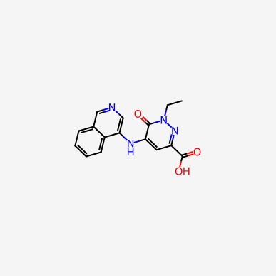 CCn1nc(C(=O)O)cc(Nc2cncc3ccccc23)c1=O